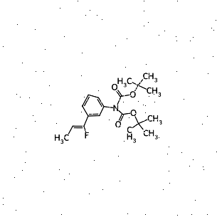 CC=C(F)c1cccc(N(C(=O)OC(C)(C)C)C(=O)OC(C)(C)C)c1